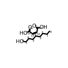 CCCCCCCCO.O=C(O)/C=C\C(=O)O